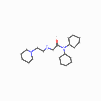 O=C(CNCCN1CCCCC1)N(C1CCCCC1)C1CCCCC1